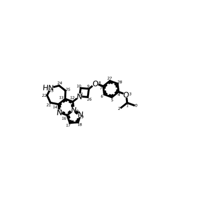 CC(C)Oc1ccc(OC2CN(c3c4c(nc5ccnn35)CCNCC4)C2)cc1